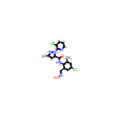 Cc1cc(Cl)cc(/C=N/O)c1NC(=O)c1cc(Br)nn1-c1ncccc1Cl